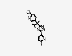 Cc1ccc(-c2nc(C(C)(c3ccc(Cl)nc3)C(C)C)no2)cn1